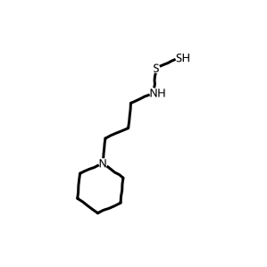 SSNCCCN1CCCCC1